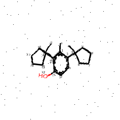 Cc1c(C2(C)CCCC2)ccc(O)c1C1(C)CCCC1